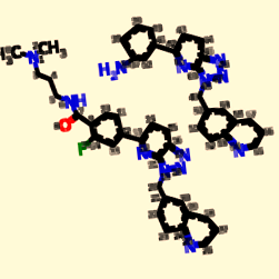 CN(C)CCCNC(=O)c1ccc(-c2ccc3nnn(Cc4ccc5ncccc5c4)c3n2)cc1F.Nc1cccc(-c2ccc3nnn(Cc4ccc5ncccc5c4)c3n2)c1